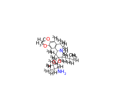 [2H]c1c(OC)c(OC)c([2H])c2c1C1N(C([2H])([2H])C2([2H])[2H])C([2H])([2H])C([2H])(C([2H])([2H])C([2H])(C)C([2H])([2H])[2H])C([2H])(OC(=O)[C@@]([2H])(N)C([2H])(C([2H])([2H])[2H])C([2H])([2H])[2H])C1([2H])[2H]